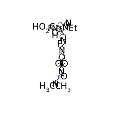 CCc1nccn1C[C@@](c1cccc(F)c1)(C1CCN(CC2(F)CN(c3ccc(S(=O)(=O)C4CN(C(=O)/C=C/CN(C)C)C4)cc3)C2)CC1)[C@H]1CCC[C@@H]1NC(=O)O